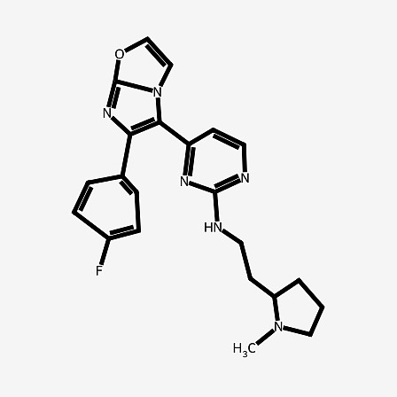 CN1CCCC1CCNc1nccc(-c2c(-c3ccc(F)cc3)nc3occn23)n1